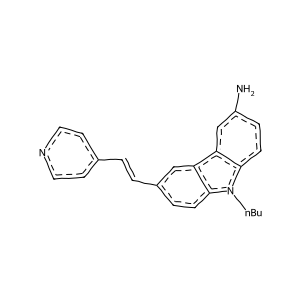 CCCCn1c2ccc(N)cc2c2cc(C=Cc3ccncc3)ccc21